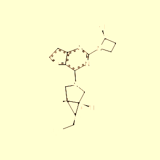 C[C@H]1CCN1c1nc(N2C[C@@H]3[C@@H](CC(=O)O)[C@@H]3C2)c2sccc2n1